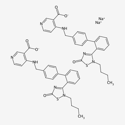 CCCCn1sc(=O)nc1-c1ccccc1-c1ccc(CNc2ccncc2C(=O)[O-])cc1.CCCCn1sc(=O)nc1-c1ccccc1-c1ccc(CNc2ccncc2C(=O)[O-])cc1.[Na+].[Na+]